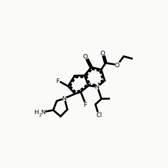 CCOC(=O)c1cn(C(C)CCl)c2c(F)c(N3CCC(N)C3)c(F)cc2c1=O